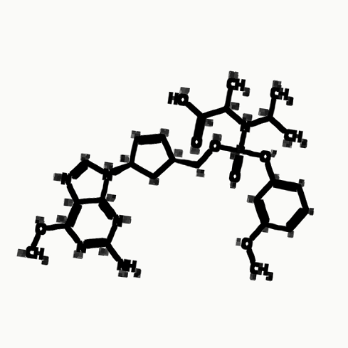 COc1cccc(OP(=O)(OC[C@@H]2C=C[C@H](n3cnc4c(OC)nc(N)nc43)C2)N(C(C)C)C(C)C(=O)O)c1